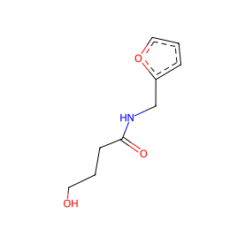 O=C(CCCO)NCc1ccco1